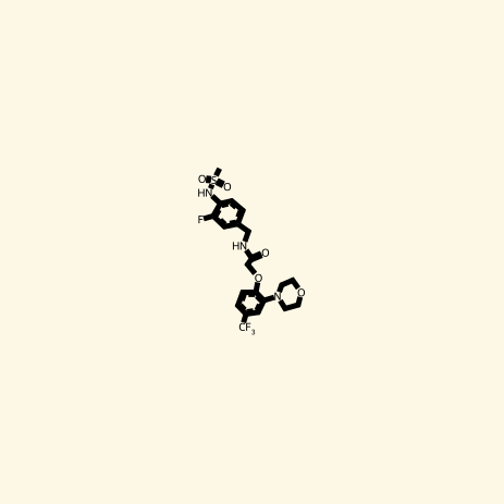 CS(=O)(=O)Nc1ccc(CNC(=O)COc2ccc(C(F)(F)F)cc2N2CCOCC2)cc1F